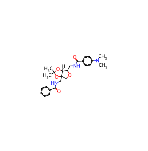 CN(C)c1ccc(C(=O)NC[C@H]2OC[C@]3(CNC(=O)c4ccccc4)OC(C)(C)O[C@H]23)cc1